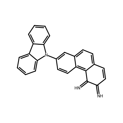 N=C1C=Cc2ccc3cc(-n4c5ccccc5c5ccccc54)ccc3c2C1=N